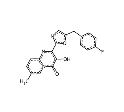 Cc1ccc2nc(-c3ncc(Cc4ccc(F)cc4)o3)c(O)c(=O)n2c1